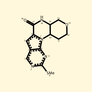 CSc1ncc2cc3n(c2n1)C1CCOCC1NC3=O